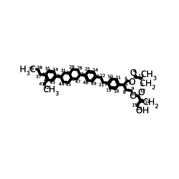 C=C(C)C(=O)OCC(CCOC(=O)C(=C)CO)c1ccc(CCc2ccc(C3CCC4CC(c5ccc(CCC)c(CC)c5)CCC4C3)cc2)cc1